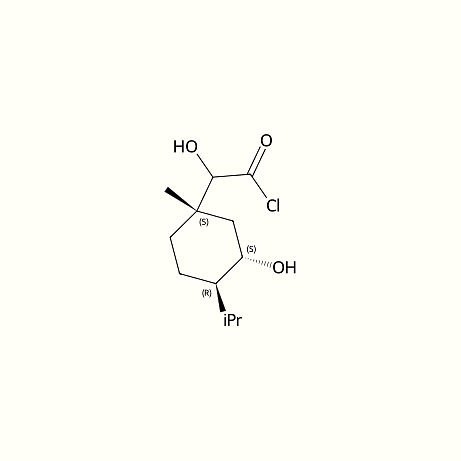 CC(C)[C@H]1CC[C@](C)(C(O)C(=O)Cl)C[C@@H]1O